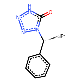 CC(C)[C@H](c1ccccc1)n1nn[nH]c1=O